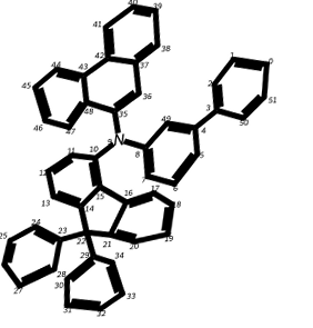 c1ccc(-c2cccc(N(c3cccc4c3-c3ccccc3C4(c3ccccc3)c3ccccc3)c3cc4ccccc4c4ccccc34)c2)cc1